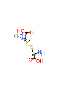 O=C(O)[C@H](CSSC[C@H](NCl)C(=O)O)NCl